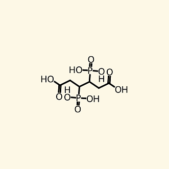 O=C(O)CC(C(CC(=O)O)P(=O)(O)O)P(=O)(O)O